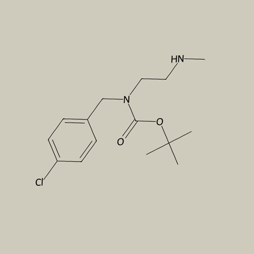 CNCCN(Cc1ccc(Cl)cc1)C(=O)OC(C)(C)C